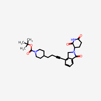 CC(C)(C)OC(=O)N1CCC(CCC#Cc2cccc3c2CN(C2CCC(=O)NC2=O)C3=O)CC1